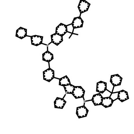 CC1(C)c2ccc(-c3ccccc3)cc2-c2ccc3cc(N(c4ccc(-c5ccccc5)cc4)c4ccc(-c5cccc(-c6ccc7c8ccc(N(c9ccccc9)c9ccc%10c%11c(ccc%10c9)-c9ccccc9C%11(c9ccccc9)c9ccccc9)cc8n(-c8ccccc8)c7c6)c5)cc4)ccc3c21